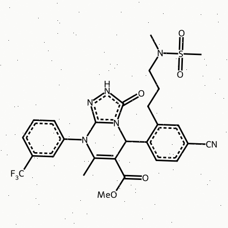 COC(=O)C1=C(C)N(c2cccc(C(F)(F)F)c2)c2n[nH]c(=O)n2C1c1ccc(C#N)cc1CCCN(C)S(C)(=O)=O